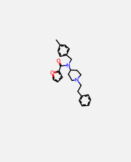 Cc1ccc(CN(C(=O)c2ccco2)C2CCN(CCc3ccccc3)CC2)cc1